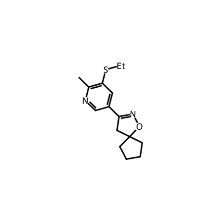 CCSc1cc(C2=NOC3(CCCC3)C2)cnc1C